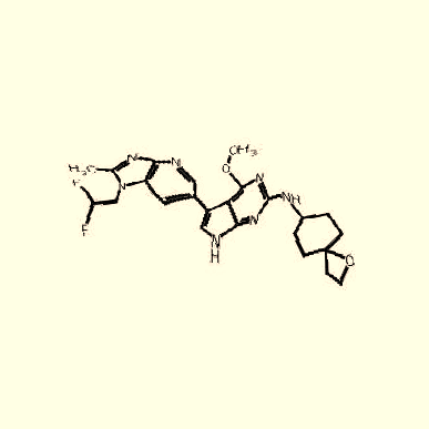 COc1nc(NC2CCC3(CCO3)CC2)nc2[nH]cc(-c3cnc4nc(C)n(CC(F)F)c4c3)c12